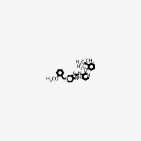 COc1ccccc1CN1CCc2nc(Nc3cccnc3Oc3ccccc3C(C)(C)C)sc2C1